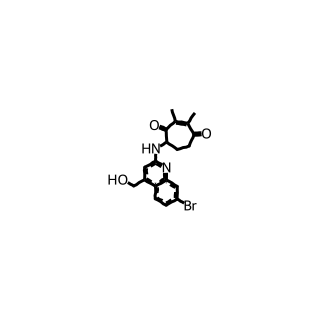 CC1=C(C)C(=O)C(Nc2cc(CO)c3ccc(Br)cc3n2)CCC1=O